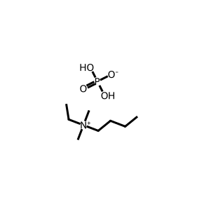 CCCC[N+](C)(C)CC.O=P([O-])(O)O